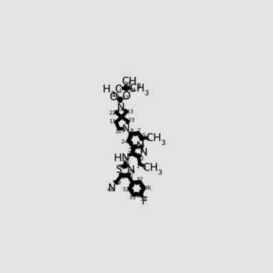 CCc1nn2c(C)cc(N3CCC4(CN(C(=O)OC(C)(C)C)C4)C3)cc2c1Nc1nc(-c2ccc(F)cc2)c(C#N)s1